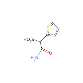 NC(=O)C(c1cccs1)S(=O)(=O)O